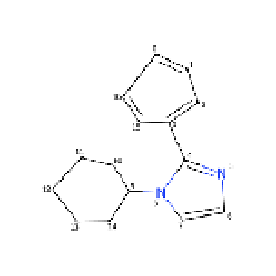 c1ccc(-c2nccn2C2CCCCC2)cc1